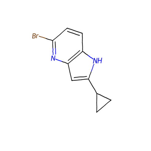 Brc1ccc2[nH]c(C3CC3)cc2n1